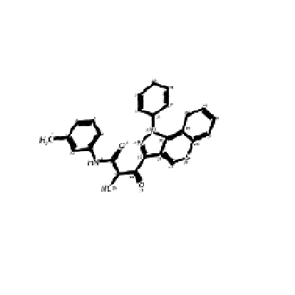 Cc1cccc(NC(=O)C(C#N)C(=O)c2nn(C3C=CCC=C3)c3c2=CSC2=CC=CCC=32)c1